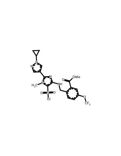 CCS(=O)(=O)c1c(NCc2ccc(OC(F)(F)F)cc2C(=O)OC)nc(-c2cnn(C3CC3)c2)n1C